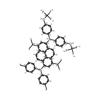 Cc1ccc(N(c2ccc(C)cc2)c2cc(C(C)C)c3ccc4c(N(c5ccc(OC(F)(F)F)cc5)c5ccc(OC(F)(F)F)cc5)cc(C(C)C)c5ccc2c3c54)cc1